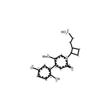 COc1cn(C2CCC2CCC(=O)O)c(=O)cc1-c1cc(Cl)ccc1C#N